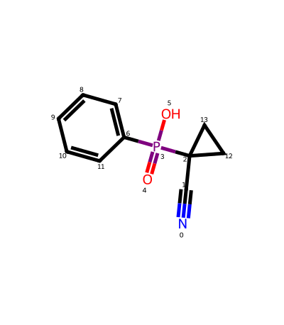 N#CC1(P(=O)(O)c2ccccc2)CC1